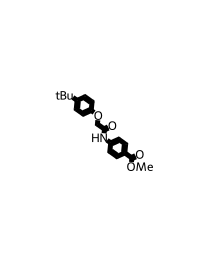 COC(=O)c1ccc(NC(=O)COc2ccc(C(C)(C)C)cc2)cc1